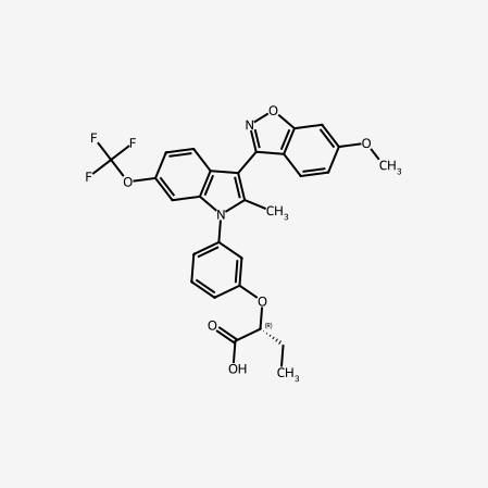 CC[C@@H](Oc1cccc(-n2c(C)c(-c3noc4cc(OC)ccc34)c3ccc(OC(F)(F)F)cc32)c1)C(=O)O